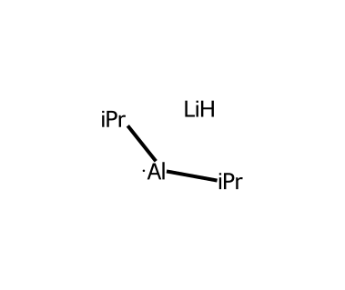 C[CH](C)[Al][CH](C)C.[LiH]